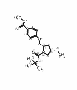 COC(=O)c1ccc(OC[C@@H]2C[C@H](OC)CN2C(=O)OC(C)(C)C)cc1